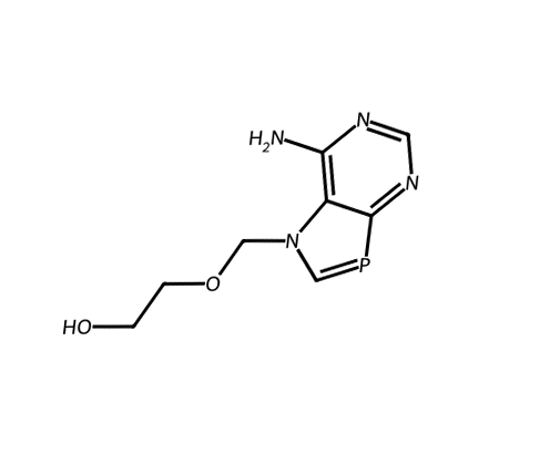 Nc1ncnc2pcn(COCCO)c12